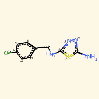 Nc1nnc(NCc2ccc(Cl)cc2)s1